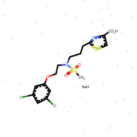 CS(=O)(=O)N(CCCc1nc(C(=O)O)cs1)CCOc1cc(Cl)cc(Cl)c1.[NaH]